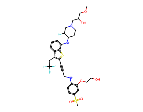 COCC(O)CN1CCC(Nc2cccc3c(CC(F)(F)F)c(C#CCNc4ccc(S(C)(=O)=O)cc4OCCO)sc23)C(F)C1